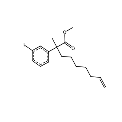 C=CCCCCCC(C)(C(=O)OC)c1cccc(I)c1